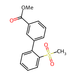 COC(=O)c1cccc(-c2ccccc2S(C)(=O)=O)c1